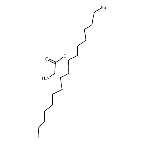 CCCCCCCCCCCCCCC[CH2][Na].NCC(=O)O